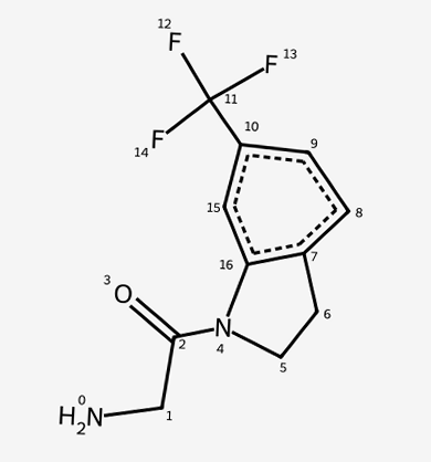 NCC(=O)N1CCc2ccc(C(F)(F)F)cc21